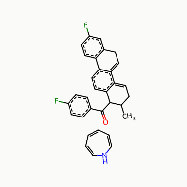 C1=CC=CNC=C1.CC1CC=c2c(ccc3c2=CCc2cc(F)ccc2-3)C1C(=O)c1ccc(F)cc1